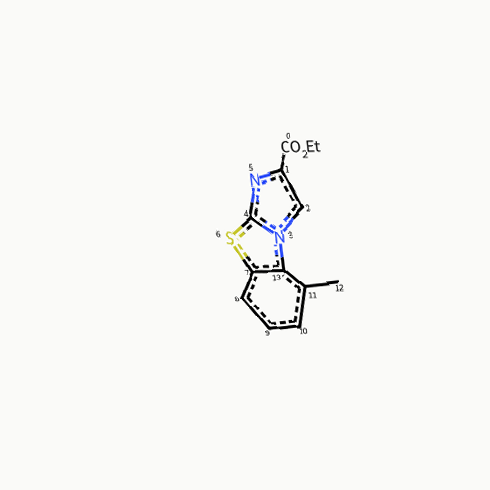 CCOC(=O)c1cn2c(n1)sc1cccc(C)c12